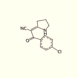 N#CC(C(=O)c1ccc(Cl)cc1)=C1CCCN1